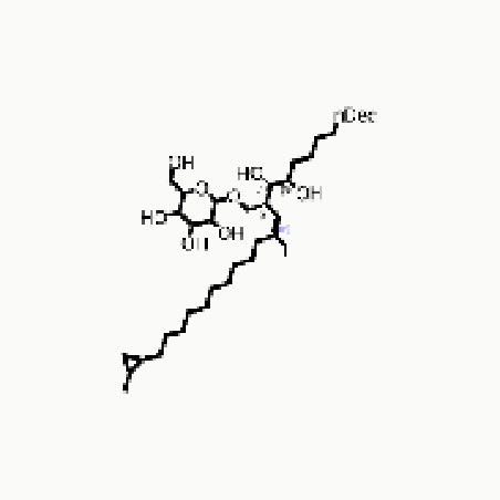 CCCCCCCCCCCCCC[C@@H](O)[C@@H](O)[C@@H](/C=C(/F)CCCCCCCCCCC1CC1C)COC1OC(CO)C(O)C(O)C1O